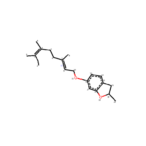 CC(C)=C(C)CC/C(C)=C/COc1ccc2c(c1)OC(C)C2